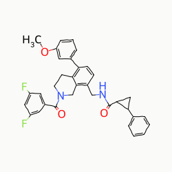 COc1cccc(-c2ccc(CNC(=O)C3CC3c3ccccc3)c3c2CCN(C(=O)c2cc(F)cc(F)c2)C3)c1